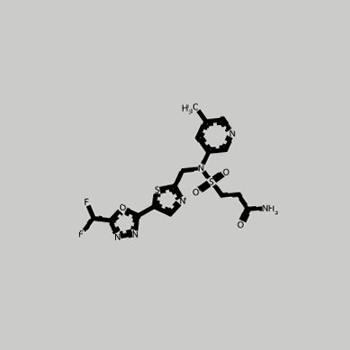 Cc1cncc(N(Cc2ncc(-c3nnc(C(F)F)o3)s2)S(=O)(=O)CCC(N)=O)c1